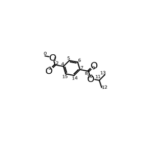 COC(=O)c1ccc(C(=O)OC(C)C)cc1